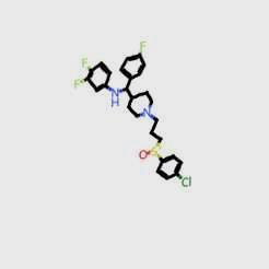 [O-][S+](CCCN1CCC(C(Nc2ccc(F)c(F)c2)c2ccc(F)cc2)CC1)c1ccc(Cl)cc1